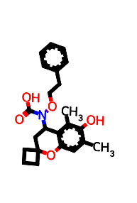 Cc1cc2c(c(C)c1O)C(N(OCCc1ccccc1)C(=O)O)CC1(CCC1)O2